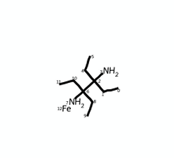 CCC(N)(CC)C(N)(CC)CC.[Fe]